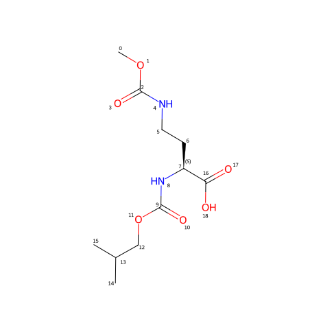 COC(=O)NCC[C@H](NC(=O)OCC(C)C)C(=O)O